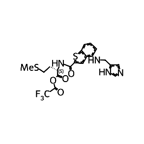 CSCC[C@H](NC(=O)c1cc2c(NCc3cnc[nH]3)cccc2s1)C(=O)OC(=O)C(F)(F)F